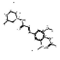 COc1cc(C=CC(=O)NN2CCOC(C)C2)cc(OC)c1OC(C)=O